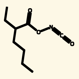 CCCCC(CC)C(=O)ON=C=O